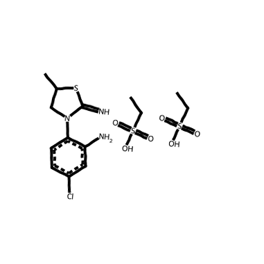 CC1CN(c2ccc(Cl)cc2N)C(=N)S1.CCS(=O)(=O)O.CCS(=O)(=O)O